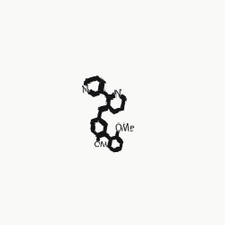 COc1ccccc1-c1cc(C=C2CCCN=C2c2cccnc2)ccc1OC